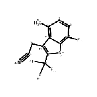 Cc1ccc(F)c2[nH]c(C(F)(F)F)c(CC#N)c12